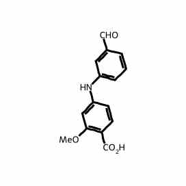 COc1cc(Nc2cccc(C=O)c2)ccc1C(=O)O